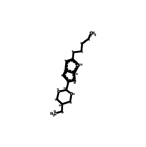 CCCCCc1cc2cc(C3OCC(CC)CO3)sc2s1